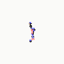 Cc1ncsc1-c1ccc([C@H](C)NC(=O)[C@@H]2CCCN2C(=O)Cc2cc(N3CCN(C(=O)OC[C@@H]4CCCN4C)[C@@H](C)C3)no2)cc1